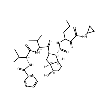 CCCC(NC(=O)[C@@H]1[C@H]2CC[C@@H](O)[C@H]2CN1C(=O)[C@@H](NC(=O)[C@H](NC(=O)c1cnccn1)C(C)C)C(C)C)C(=O)C(=O)NC1CC1